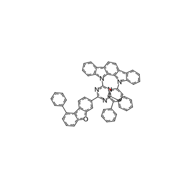 c1ccc(-c2ccc(-n3c4ccccc4c4ccc5c6ccccc6n(-c6nc(-c7ccccc7)nc(-c7ccc8c(c7)oc7cccc(-c9ccccc9)c78)n6)c5c43)cc2)cc1